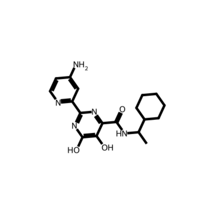 CC(NC(=O)c1nc(-c2cc(N)ccn2)nc(O)c1O)C1CCCCC1